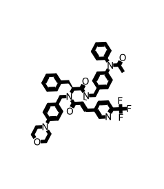 CC(=O)N(c1ccccc1)c1ccc(CN(C)C(=O)[C@H](Cc2ccccc2)N(Cc2ccc(N3CCOCC3)cc2)C(=O)/C=C/c2ccc(C(F)(F)F)nc2)cc1